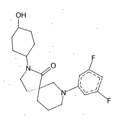 O=C1N(C2CCC(O)CC2)CC[C@]12CCCN(c1cc(F)cc(F)c1)C2